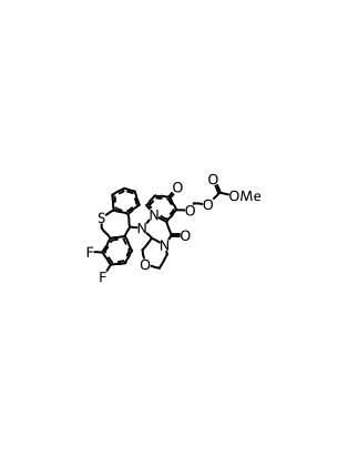 COC(=O)OCOc1c2n(ccc1=O)N(C1c3ccccc3SCc3c1ccc(F)c3F)C1COCCN1C2=O